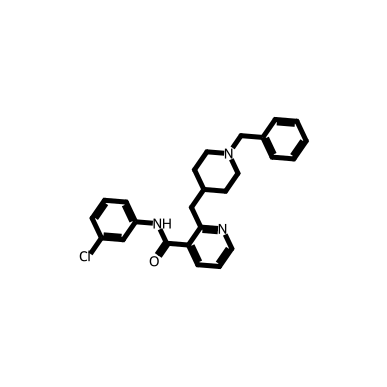 O=C(Nc1cccc(Cl)c1)c1cccnc1CC1CCN(Cc2ccccc2)CC1